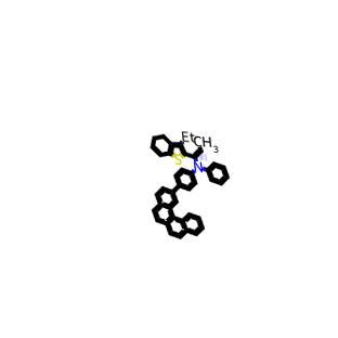 C/C=C(\c1sc2c(c1CC)CCC=C2)N(c1ccccc1)c1ccc(-c2ccc3ccc4ccc5ccccc5c4c3c2)cc1